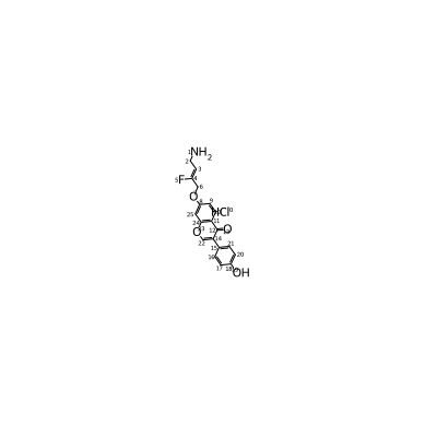 Cl.NCC=C(F)COc1ccc2c(=O)c(-c3ccc(O)cc3)coc2c1